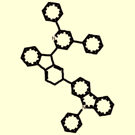 C1=C2C(=CC(c3ccc4c5ccccc5n(-c5ccccc5)c4c3)C1)C(c1cc(-c3ccccc3)cc(-c3ccccc3)n1)c1ccccc12